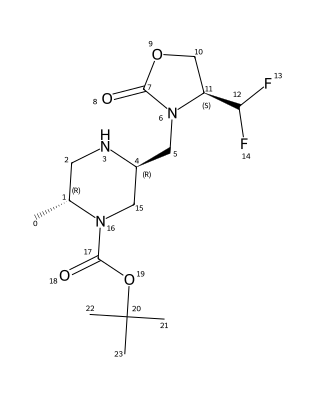 C[C@@H]1CN[C@@H](CN2C(=O)OC[C@H]2C(F)F)CN1C(=O)OC(C)(C)C